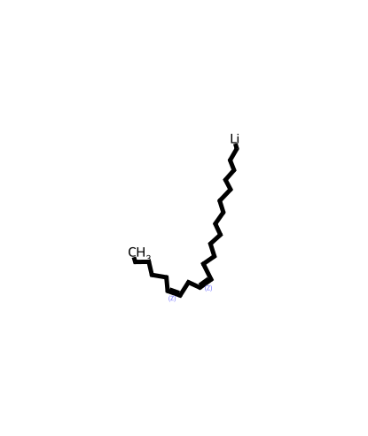 [Li][CH2]CCCCCCCCCCC/C=C\C/C=C\CCCCC